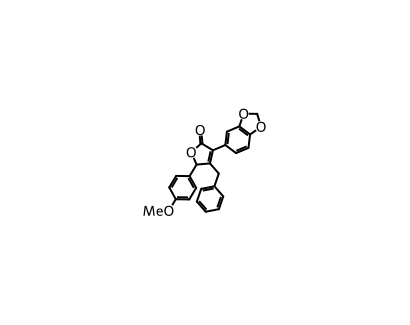 COc1ccc(C2OC(=O)C(c3ccc4c(c3)OCO4)=C2Cc2ccccc2)cc1